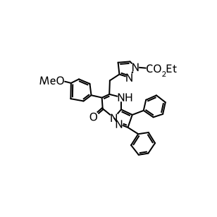 CCOC(=O)n1ccc(Cc2[nH]c3c(-c4ccccc4)c(-c4ccccc4)nn3c(=O)c2-c2ccc(OC)cc2)n1